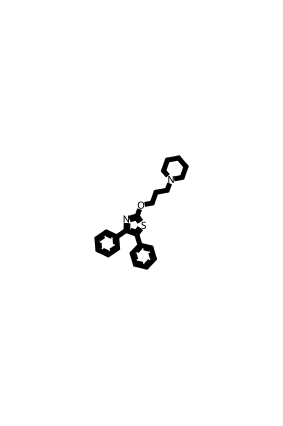 c1ccc(-c2nc(OCCCN3CCCCC3)sc2-c2ccccc2)cc1